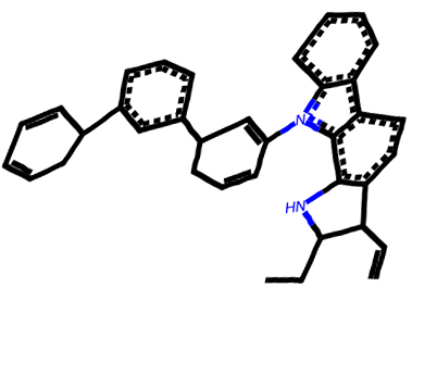 C=CC1c2ccc3c4ccccc4n(C4=CC(c5cccc(C6C=CC=CC6)c5)CC=C4)c3c2NC1CC